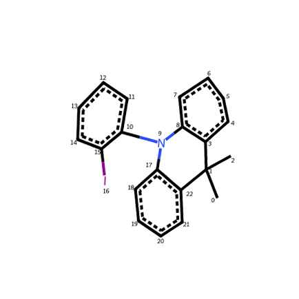 CC1(C)c2ccccc2N(c2ccccc2I)c2ccccc21